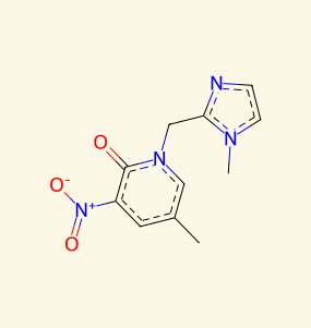 Cc1cc([N+](=O)[O-])c(=O)n(Cc2nccn2C)c1